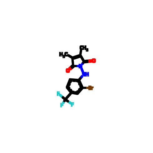 CC1=C(C)C(=O)N(Nc2ccc(C(F)(F)F)cc2Br)C1=O